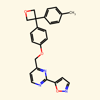 Cc1ccc(C2(c3ccc(OCc4ccnc(-c5ccno5)n4)cc3)COC2)cc1